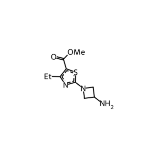 CCc1nc(N2CC(N)C2)sc1C(=O)OC